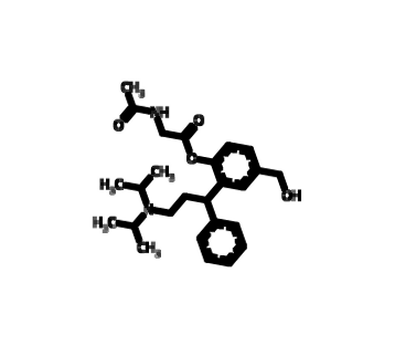 CC(=O)NCC(=O)Oc1ccc(CO)cc1C(CCN(C(C)C)C(C)C)c1ccccc1